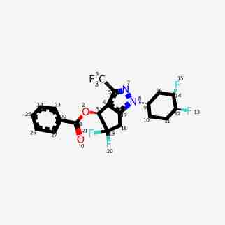 O=C(O[C@H]1c2c(C(F)(F)F)nn([C@H]3CC[C@H](F)[C@H](F)C3)c2CC1(F)F)c1ccccc1